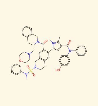 Cc1c(C(=O)N(c2ccccc2)c2ccc(O)cc2)cc(-c2cc3c(cc2C(=O)N2Cc4ccccc4C[C@H]2CN2CCOCC2)CN(S(=O)(=O)N(C)c2ccccc2)CC3)n1C